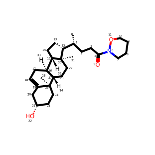 C[C@H](CCC(=O)N1CCCCO1)[C@H]1CC[C@H]2[C@@H]3CC=C4C[C@@H](O)CC[C@]4(C)[C@H]3CC[C@]12C